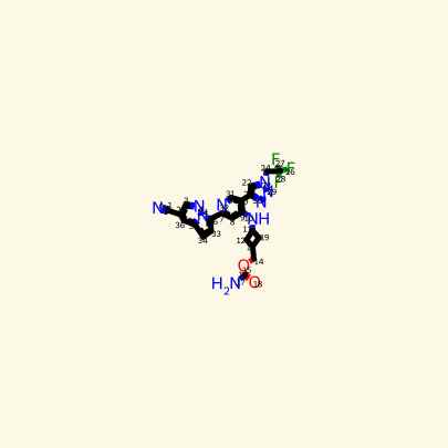 N#Cc1cnn2c(-c3cc(NC4CC(COC(N)=O)C4)c(-c4cn(CC(F)(F)F)nn4)cn3)ccc2c1